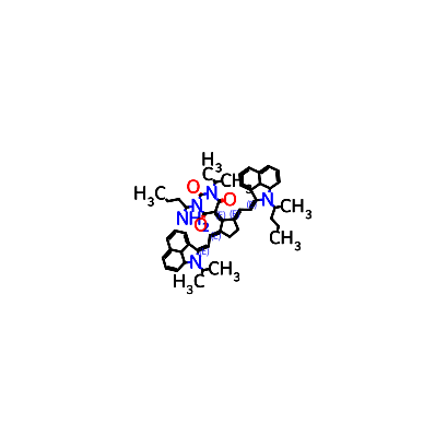 CCCC(N)N1C(=O)/C(=C2C(=C\C=C3/C4=CC=CC5=CC=CC(C54)N3C(C)C)\CCC\2=C/C=C2\C3=CC=CC4=CC=CC(C43)N2C(C)CCC)C(=O)N(C(C)C)C1=O